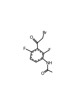 CC(=O)Nc1ccc(F)c(C(=O)CBr)c1F